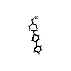 O=NCC1COC(c2ccc(-c3ccccc3)cc2)OC1